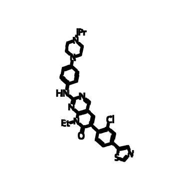 CCn1c(=O)c(-c2ccc(-c3cncs3)cc2Cl)cc2cnc(Nc3ccc(N4CCN(C(C)C)CC4)cc3)nc21